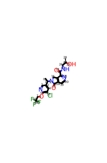 CC(c1cnc(OCC(F)(F)F)c(Cl)c1)N1Cc2c(ccnc2C(=O)NC[C@@H](C)O)C1=O